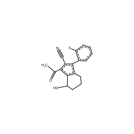 CC(=O)c1c(C#N)c(-c2cccnc2F)n2c1C(O)CCC2